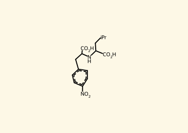 CC(C)CC(NC(Cc1ccc([N+](=O)[O-])cc1)C(=O)O)C(=O)O